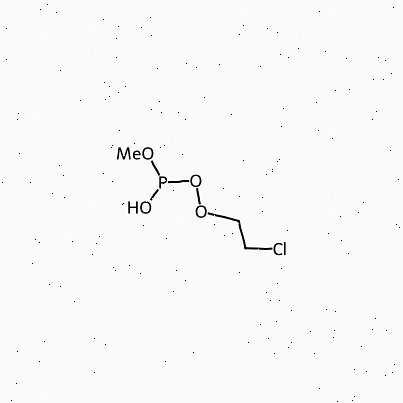 COP(O)OOCCCl